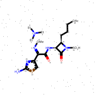 CCN(CC)CC.CON=C(C(=O)N[C@@H]1C(=O)N(S(=O)(=O)O)[C@@H]1CCCOC(C)=O)c1csc(N)n1